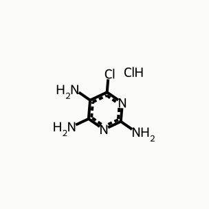 Cl.Nc1nc(N)c(N)c(Cl)n1